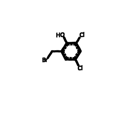 Oc1c(Cl)cc(Cl)cc1CBr